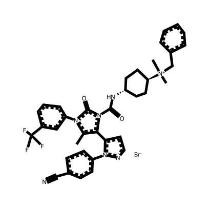 Cc1c(-c2ccnn2-c2ccc(C#N)cc2)n(C(=O)N[C@H]2CC[C@H]([N+](C)(C)Cc3ccccc3)CC2)c(=O)n1-c1cccc(C(F)(F)F)c1.[Br-]